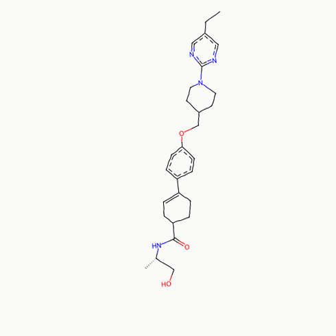 CCc1cnc(N2CCC(COc3ccc(C4=CCC(C(=O)N[C@@H](C)CO)CC4)cc3)CC2)nc1